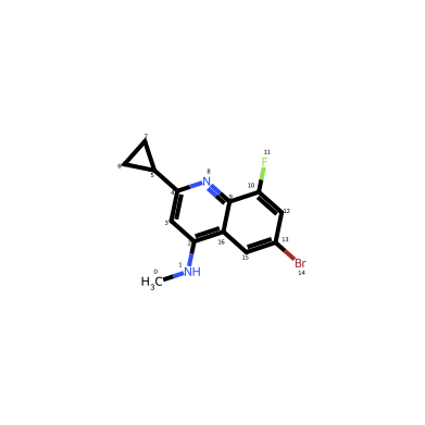 CNc1cc(C2CC2)nc2c(F)cc(Br)cc12